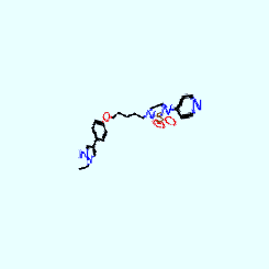 CCn1cc(-c2ccc(OCCCCCN3CCN(c4ccncc4)S3(=O)=O)cc2)cn1